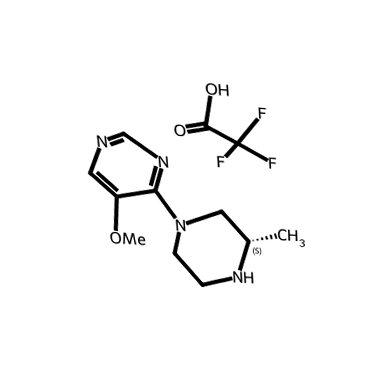 COc1cncnc1N1CCN[C@@H](C)C1.O=C(O)C(F)(F)F